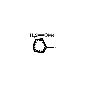 CO[SiH3].[CH2]c1ccccc1